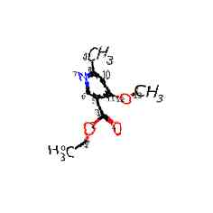 CCOC(=O)c1cnc(C)cc1OC